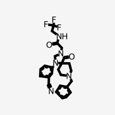 N#Cc1cccc(N2CN(CC(=O)NCC(F)(F)F)C(=O)C23CCN(Cc2ccccc2)CC3)c1